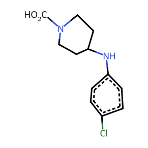 O=C(O)N1CCC(Nc2ccc(Cl)cc2)CC1